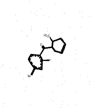 O=C(O)C1CC=CCC1C(=O)c1ccc(Br)cc1F